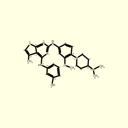 COc1cc(Nc2nc(Nc3cccc(O)c3)c3c(C)csc3n2)ccc1N1CCC(N(C)C)CC1